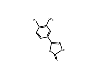 Cc1cc(-c2n[nH]c(=O)o2)ccc1C(C)C